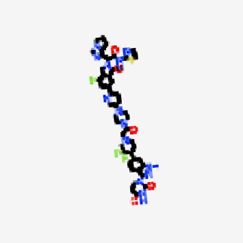 O=C1CCN(c2n[nH]c3cc(C4CCN(CC(=O)N5CCN(c6ccc(-c7cc(F)c8c(c7)C(=O)N(C(C(=O)Nc7nccs7)c7ncn9c7CCC9)C8)nc6)CC5)CC4(F)F)ccc23)C(=O)N1